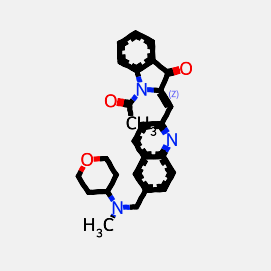 CC(=O)N1/C(=C\c2ccc3cc(CN(C)C4CCOCC4)ccc3n2)C(=O)c2ccccc21